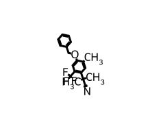 Cc1cc(C(C)(C)C#N)c(C(F)(F)F)cc1OCc1ccccc1